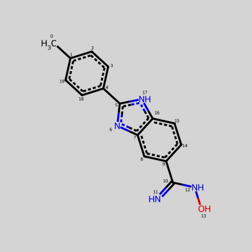 Cc1ccc(-c2nc3cc(C(=N)NO)ccc3[nH]2)cc1